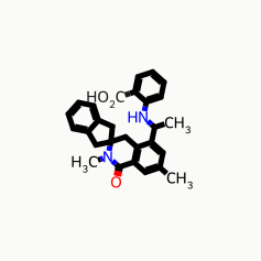 Cc1cc2c(c(C(C)Nc3ccccc3C(=O)O)c1)CC1(Cc3ccccc3C1)N(C)C2=O